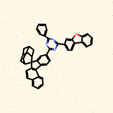 c1ccc(-c2nc(-c3ccc4c(c3)C3(c5ccc6ccccc6c5-4)C4CC5CC(C4)CC3C5)nc(-c3ccc4c(c3)oc3ccccc34)n2)cc1